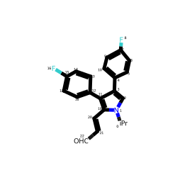 CC(C)n1cc(-c2ccc(F)cc2)c(-c2ccc(F)cc2)c1C=CC=O